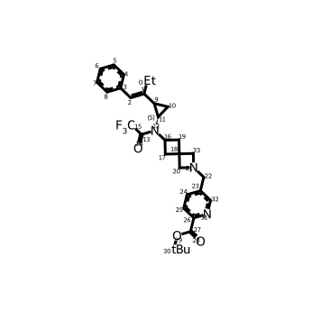 CCC(=Cc1ccccc1)C1C[C@@H]1N(C(=O)C(F)(F)F)C1CC2(C1)CN(Cc1ccc(C(=O)OC(C)(C)C)nc1)C2